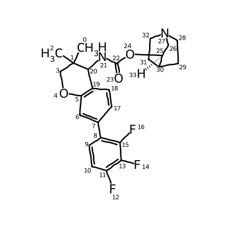 CC1(C)COc2cc(-c3ccc(F)c(F)c3F)ccc2C1NC(=O)O[C@H]1CN2CCC1CC2